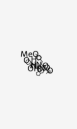 COc1ccc(CC(NC(=O)C(C)NC(=O)C2CCOCC2)C(=O)NC(CC2CCCC2)C(=O)C2(C)CO2)cc1